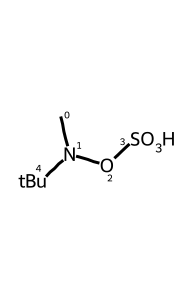 CN(OS(=O)(=O)O)C(C)(C)C